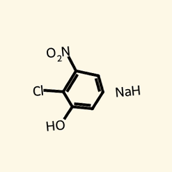 O=[N+]([O-])c1cccc(O)c1Cl.[NaH]